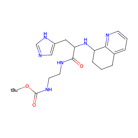 CC(C)(C)OC(=O)NCCNC(=O)C(Cc1cnc[nH]1)NC1CCCc2cccnc21